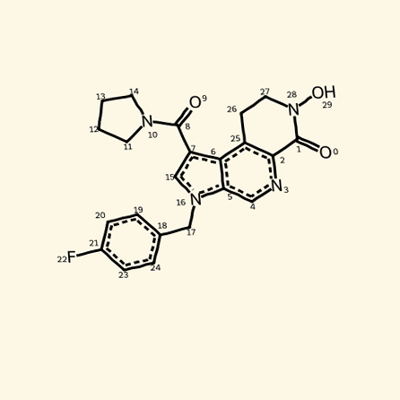 O=C1c2ncc3c(c(C(=O)N4CCCC4)cn3Cc3ccc(F)cc3)c2CCN1O